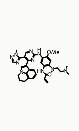 C=CC(=O)Nc1cc(Nc2ncc(-c3ncnn3C)c(-c3cn4c5c(cccc35)CCC4)n2)c(OC)cc1N(C)CCN(C)C